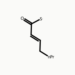 CCCCC=CC(=O)[S]